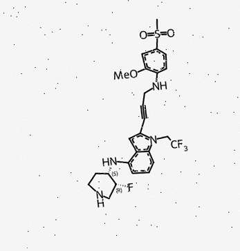 COc1cc(S(C)(=O)=O)ccc1NCC#Cc1cc2c(N[C@H]3CCNC[C@H]3F)cccc2n1CC(F)(F)F